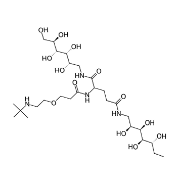 CC[C@@H](O)[C@@H](O)[C@H](O)[C@@H](O)CNC(=O)CCC(NC(=O)CCOCCNC(C)(C)C)C(=O)NC[C@H](O)[C@@H](O)[C@H](O)[C@H](O)CO